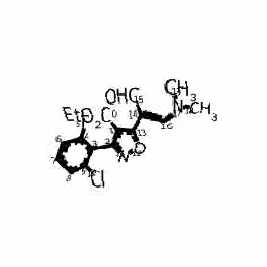 CCOC(=O)c1c(-c2c(F)cccc2Cl)noc1/C(C=O)=C/N(C)C